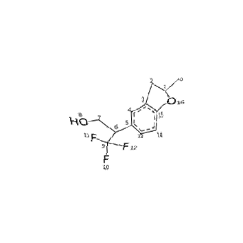 CC1Cc2cc(C(CO)C(F)(F)F)ccc2O1